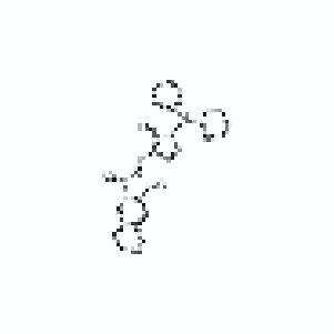 CCn1c(C=C2C(=O)c3cc4ccccc4cc3C2=O)ccc1N(c1ccccc1)c1ccccc1